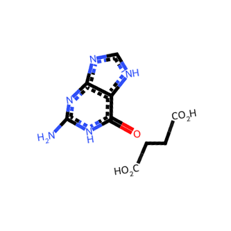 Nc1nc2nc[nH]c2c(=O)[nH]1.O=C(O)CCC(=O)O